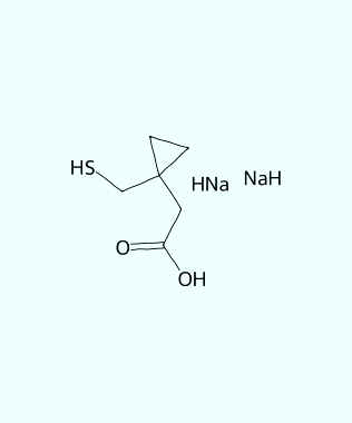 O=C(O)CC1(CS)CC1.[NaH].[NaH]